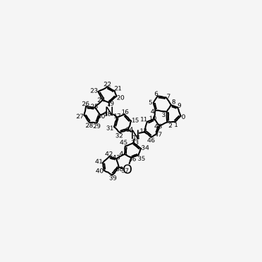 c1cc2c3c(cccc3c1)-c1cc(N(c3ccc(-n4c5ccccc5c5ccccc54)cc3)c3ccc4oc5ccccc5c4c3)ccc1-2